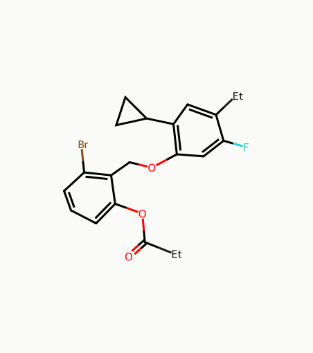 CCC(=O)Oc1cccc(Br)c1COc1cc(F)c(CC)cc1C1CC1